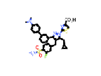 CN(C)c1ccc(-c2cccc(-c3nn(-c4nc(C(=O)O)cs4)c(CC4CC4)c3Cc3ccc(S(N)(=O)=O)c(F)c3)c2)cc1